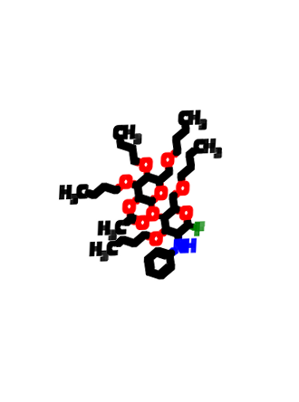 CCCCOCC1O[C@@H](F)C(Nc2ccccc2)C(OCCCC)[C@@H]1O[C@@H]1OC(COCCCC)[C@H](OCCCC)C(OCCCC)C1OC(C)=O